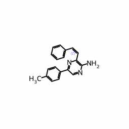 Cc1ccc(-c2cnc(N)c(/C=C\c3ccccc3)n2)cc1